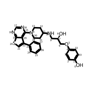 Oc1ccc(OC[C@H](O)CNC2CCN(c3ncnc4scc(-c5ccccc5)c34)CC2)cc1